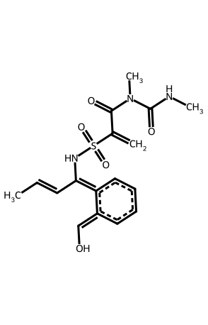 C=C(C(=O)N(C)C(=O)NC)S(=O)(=O)NC(/C=C/C)=c1\cccc\c1=C/O